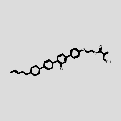 C=C(CO)C(=O)OCCOc1ccc(-c2ccc(C3C=CC(C4CCC(CC/C=C/C)CC4)=CC3)c(CC)c2)cc1